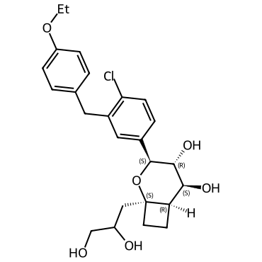 CCOc1ccc(Cc2cc([C@@H]3O[C@]4(CC(O)CO)CC[C@@H]4[C@H](O)[C@H]3O)ccc2Cl)cc1